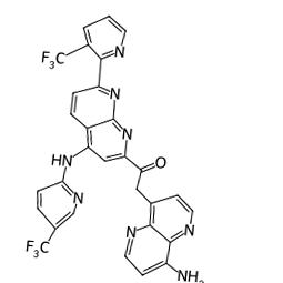 Nc1ccnc2c(CC(=O)c3cc(Nc4ccc(C(F)(F)F)cn4)c4ccc(-c5ncccc5C(F)(F)F)nc4n3)ccnc12